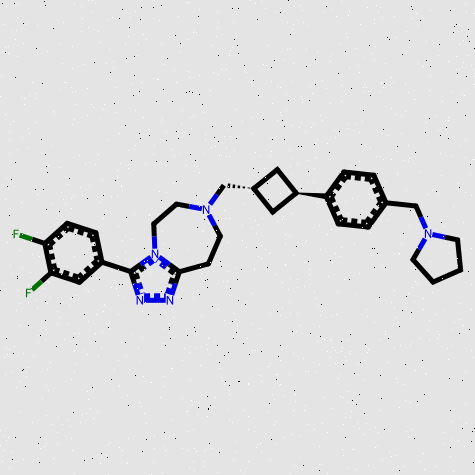 Fc1ccc(-c2nnc3n2CCN(C[C@H]2C[C@H](c4ccc(CN5CCCC5)cc4)C2)CC3)cc1F